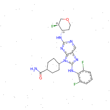 NC(=O)C1CCC(n2c(Nc3c(F)cccc3F)nc3cnc(N[C@H]4CCOC[C@@H]4F)nc32)CC1